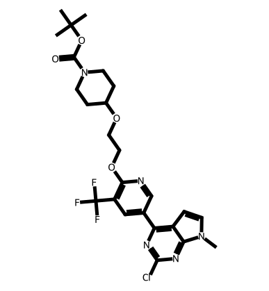 Cn1ccc2c(-c3cnc(OCCOC4CCN(C(=O)OC(C)(C)C)CC4)c(C(F)(F)F)c3)nc(Cl)nc21